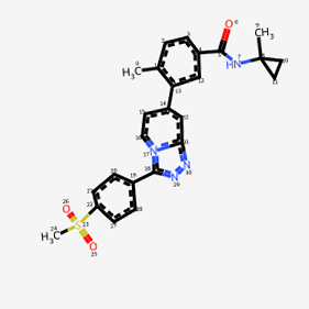 Cc1ccc(C(=O)NC2(C)CC2)cc1-c1ccn2c(-c3ccc(S(C)(=O)=O)cc3)nnc2c1